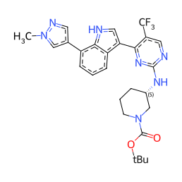 Cn1cc(-c2cccc3c(-c4nc(N[C@H]5CCCN(C(=O)OC(C)(C)C)C5)ncc4C(F)(F)F)c[nH]c23)cn1